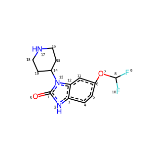 O=c1[nH]c2ccc(OC(F)F)cc2n1C1CCNCC1